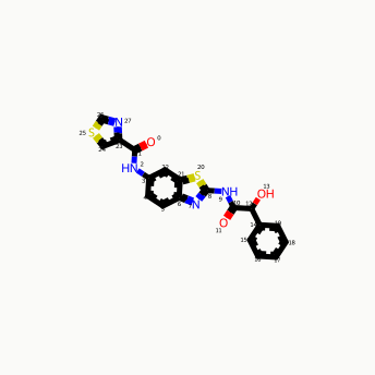 O=C(Nc1ccc2nc(NC(=O)C(O)c3ccccc3)sc2c1)c1cscn1